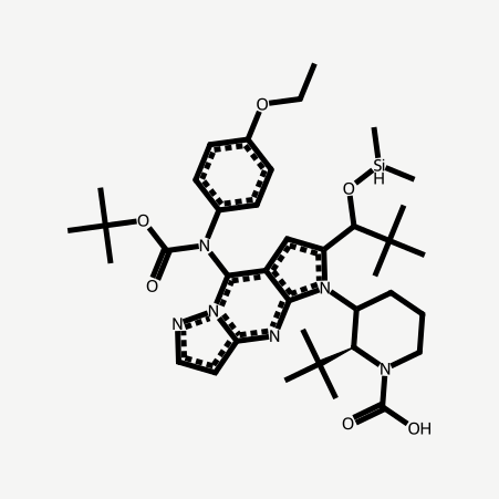 CCOc1ccc(N(C(=O)OC(C)(C)C)c2c3cc(C(O[SiH](C)C)C(C)(C)C)n(C4CCCN(C(=O)O)[C@H]4C(C)(C)C)c3nc3ccnn23)cc1